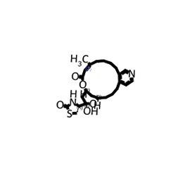 C/C1=C/C(=O)O[C@@H]2C[C@@H](CCCc3ccncc3CCCC1)O[C@@](O)([C@@H]1CSC(=O)N1)C2